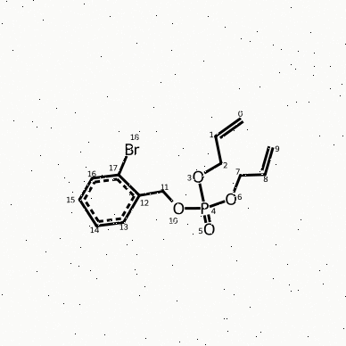 C=CCOP(=O)(OCC=C)OCc1ccccc1Br